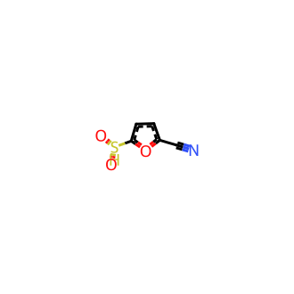 N#Cc1ccc([SH](=O)=O)o1